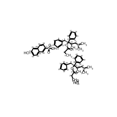 CCC(=O)O[C@](Cc1ccccc1)(c1ccccc1)[C@H](C)CN(C)C.CCC(=O)O[C@](Cc1ccccc1)(c1ccccc1)[C@H](C)CN(C)C.Cl.Cl.O.O=S(=O)(O)c1ccc2ccccc2c1